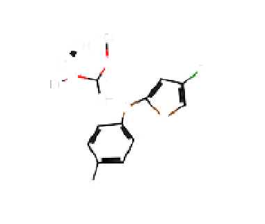 C=C.CC(=O)c1ccc(Sc2cc(Br)cs2)cc1.CCOC(C)OCC